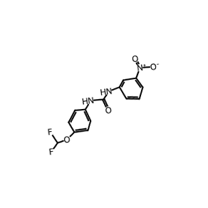 O=C(Nc1ccc(OC(F)F)cc1)Nc1cccc([N+](=O)[O-])c1